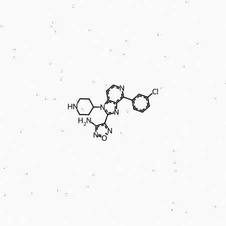 Nc1nonc1-c1nc2c(-c3cccc(Cl)c3)nccc2n1C1CCNCC1